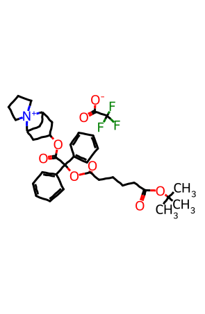 CC(C)(C)OC(=O)CCCCC(=O)OC(C(=O)OC1CC2CCC(C1)[N+]21CCCC1)(c1ccccc1)c1ccccc1.O=C([O-])C(F)(F)F